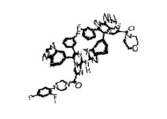 Cn1cnc2ccc(-c3c(-c4cccc(F)c4)nc(Nc4nc5ccc(-c6c(-c7cccc(F)c7)nc(N)c7nc(C(=O)N8CCOCC8)cn67)cc5n4C)c4nc(C(=O)N5CCN(c6ccc(F)cc6F)CC5)cn34)cc21